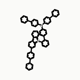 c1ccc(-c2ccc(-c3ccc4c5ccccc5n(-c5ccccc5-c5ccc(N(c6ccc(-c7ccccc7)cc6)c6ccc(-c7ccccc7)cc6)cc5)c4c3)cc2)cc1